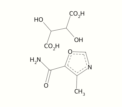 Cc1ncoc1C(N)=O.O=C(O)C(O)C(O)C(=O)O